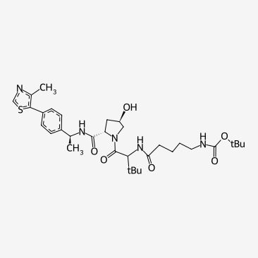 Cc1ncsc1-c1ccc([C@H](C)NC(=O)[C@@H]2C[C@@H](O)CN2C(=O)C(NC(=O)CCCCNC(=O)OC(C)(C)C)C(C)(C)C)cc1